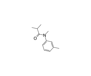 Cc1cccc(N(C)C(=O)C(C)C)c1